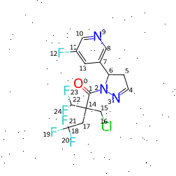 O=C(N1N=CCC1c1cncc(F)c1)C(CCl)(CC(F)(F)F)C(F)F